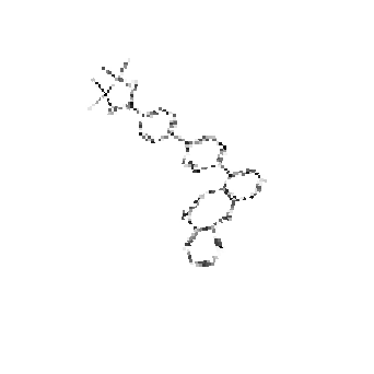 CC1(C)OB(c2ccc(-c3ccc(-c4cccc5c4C=Nc4ccccc4S5)cc3)cc2)OC1(C)C